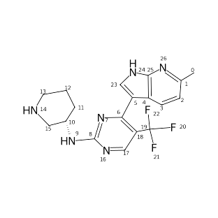 Cc1ccc2c(-c3nc(N[C@H]4CCCNC4)ncc3C(F)(F)F)c[nH]c2n1